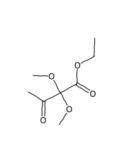 CCOC(=O)C(OC)(OC)C(C)=O